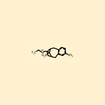 NC1(CNCC(F)(F)F)C2CCC1Cc1cc([N+](=O)[O-])ccc1C2